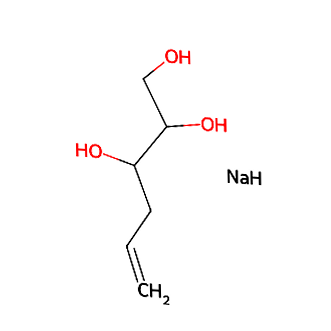 C=CCC(O)C(O)CO.[NaH]